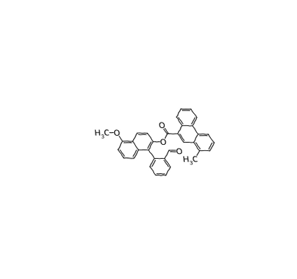 COc1cccc2c(-c3ccccc3C=O)c(OC(=O)c3cc4c(C)cccc4c4ccccc34)ccc12